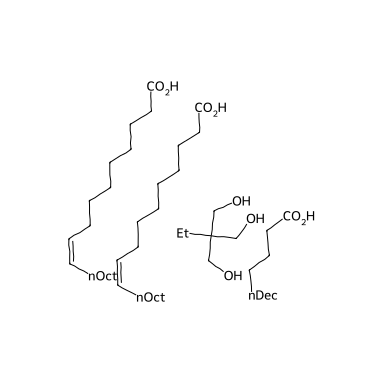 CCC(CO)(CO)CO.CCCCCCCC/C=C\CCCCCCCC(=O)O.CCCCCCCC/C=C\CCCCCCCC(=O)O.CCCCCCCCCCCCCC(=O)O